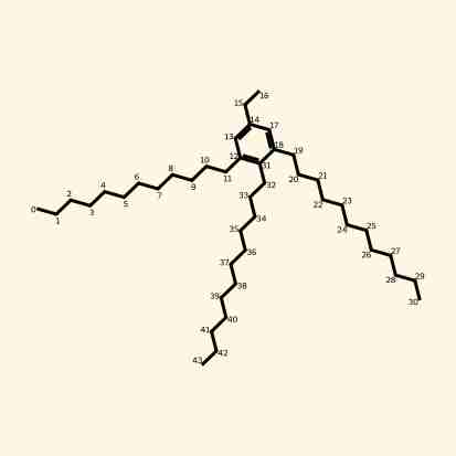 CCCCCCCCCCCCc1cc(CC)cc(CCCCCCCCCCCC)c1CCCCCCCCCCCC